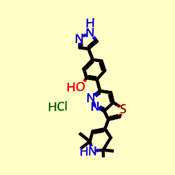 CC1(C)C=C(c2csc3cc(-c4ccc(-c5cn[nH]c5)cc4O)nnc23)CC(C)(C)N1.Cl